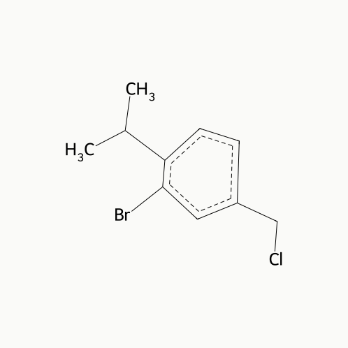 CC(C)c1ccc(CCl)cc1Br